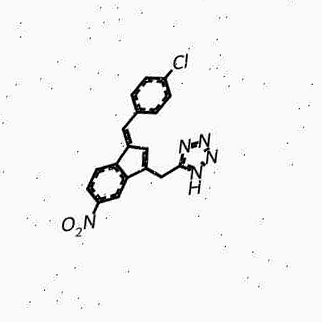 O=[N+]([O-])c1ccc2c(c1)C(Cc1nnn[nH]1)=CC2=Cc1ccc(Cl)cc1